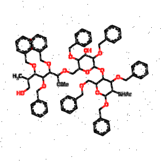 COC(OCC1OC(OC2C(COCc3ccccc3)OC(OCc3ccccc3)C(NC(C)=O)C2OCc2ccccc2)C(OCc2ccccc2)C(O)C1OCc1ccccc1)C(OCc1ccccc1)C(OCc1ccccc1)C(OCc1ccccc1)C(C)CO